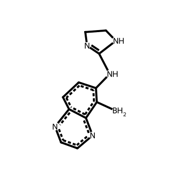 Bc1c(NC2=NCCN2)ccc2nccnc12